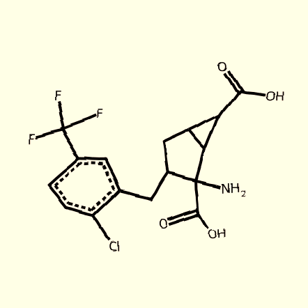 NC1(C(=O)O)C(Cc2cc(C(F)(F)F)ccc2Cl)CC2C(C(=O)O)C21